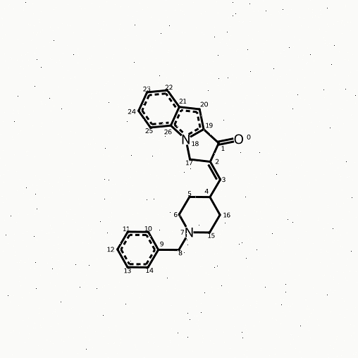 O=C1C(=CC2CCN(Cc3ccccc3)CC2)Cn2c1cc1ccccc12